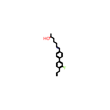 C=CCc1ccc(-c2ccc(/C=C/CCCC(C)O)cc2)cc1F